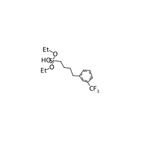 CCO[Si](O)(CCCCc1cccc(C(F)(F)F)c1)OCC